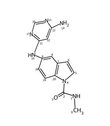 CNC(=O)n1ccc2cc(Nc3cc(N)ncn3)ccc21